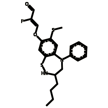 CCCCC1CN(c2ccccc2)c2cc(SC)c(O/C=C(\F)C=O)cc2SN1